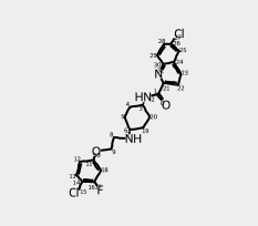 O=C(N[C@H]1CC[C@H](NCCOc2ccc(Cl)c(F)c2)CC1)c1ccc2cc(Cl)ccc2n1